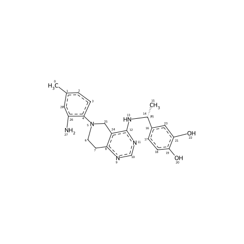 Cc1ccc(N2CCc3ncnc(N[C@H](C)c4ccc(O)c(O)c4)c3C2)c(N)c1